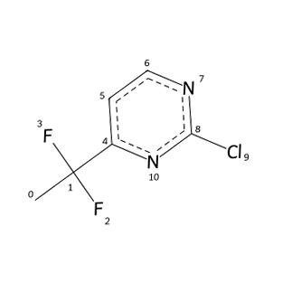 CC(F)(F)c1ccnc(Cl)n1